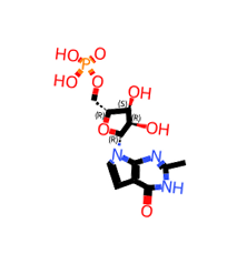 Cc1nc2c(ccn2[C@@H]2O[C@H](COP(=O)(O)O)[C@@H](O)[C@H]2O)c(=O)[nH]1